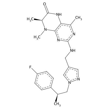 Cc1nc(NCc2cnn(C[C@@H](C)c3ccc(F)cc3)c2)nc2c1NC(=O)[C@H](C)N2C